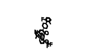 Cc1cnc2cc([C@H]3CC[C@H](c4c(C)cccc4F)CC3)c(=O)n(Cc3ncccc3OC(F)F)c2n1